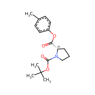 Cc1ccc(OC(=O)[C@@H]2CCCN2C(=O)OC(C)(C)C)cc1